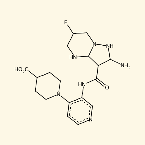 NC1NN2CC(F)CNC2C1C(=O)Nc1cnccc1N1CCC(C(=O)O)CC1